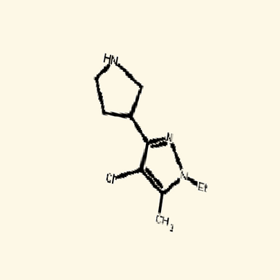 CCn1nc(C2CCNC2)c(Cl)c1C